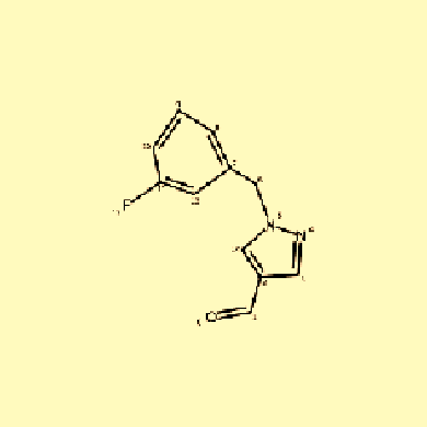 O=Cc1cnn(Cc2cccc(F)c2)c1